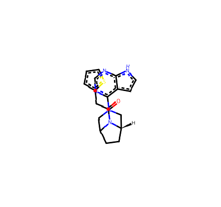 O=C(Cc1cccs1)N1C2CC[C@H]1CN(c1ncnc3[nH]ccc13)C2